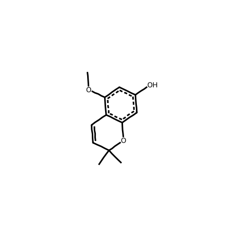 COc1cc(O)cc2c1C=CC(C)(C)O2